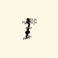 CC(C)NCC(O)COc1cccc2c(OCC(=O)NCCCCC(N[C@@H](C)C(=O)N3CCC[C@H]3C(=O)O)C(=O)O)cccc12